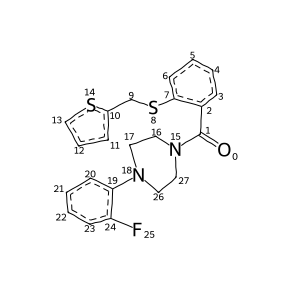 O=C(c1ccccc1SCc1cccs1)N1CCN(c2ccccc2F)CC1